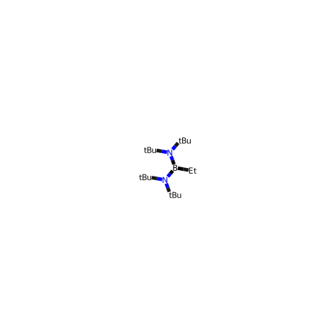 CCB(N(C(C)(C)C)C(C)(C)C)N(C(C)(C)C)C(C)(C)C